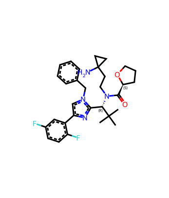 CC(C)(C)[C@H](c1nc(-c2cc(F)ccc2F)cn1Cc1ccccc1)N(CCC1(N)CC1)C(=O)[C@@H]1CCCO1